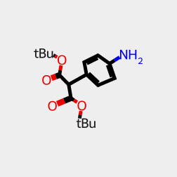 CC(C)(C)OC(=O)C(C(=O)OC(C)(C)C)c1ccc(N)cc1